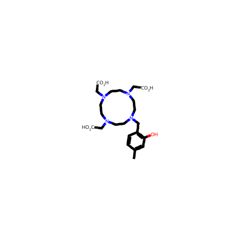 Cc1ccc(CN2CCN(CC(=O)O)CCN(CC(=O)O)CCN(CC(=O)O)CC2)c(O)c1